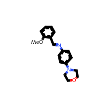 COc1ccccc1/C=N/c1ccc(N2CCOCC2)cc1